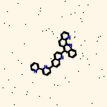 c1ccc(-c2cccc(-c3ccc4nc(-c5c6ccccc6nc6c5ccc5cccnc56)ccc4c3)n2)nc1